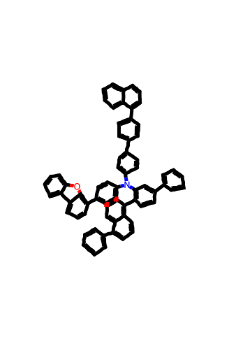 c1ccc(-c2ccc(-c3cccc4c(-c5ccccc5)cccc34)c(N(c3ccc(-c4ccc(-c5cccc6ccccc56)cc4)cc3)c3ccc(-c4cccc5c4oc4ccccc45)cc3)c2)cc1